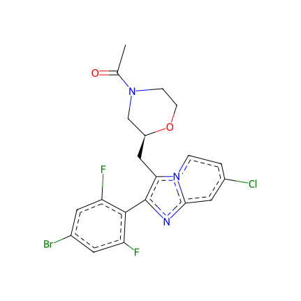 CC(=O)N1CCO[C@@H](Cc2c(-c3c(F)cc(Br)cc3F)nc3cc(Cl)ccn23)C1